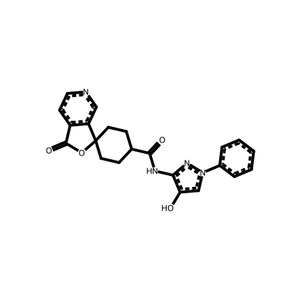 O=C1OC2(CCC(C(=O)Nc3nn(-c4ccccc4)cc3O)CC2)c2cnccc21